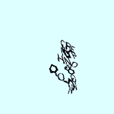 Cn1nc(NC(=O)n2ccc3cc(Oc4cc(COCc5ccccc5)ncn4)ccc32)cc1C(F)(F)F